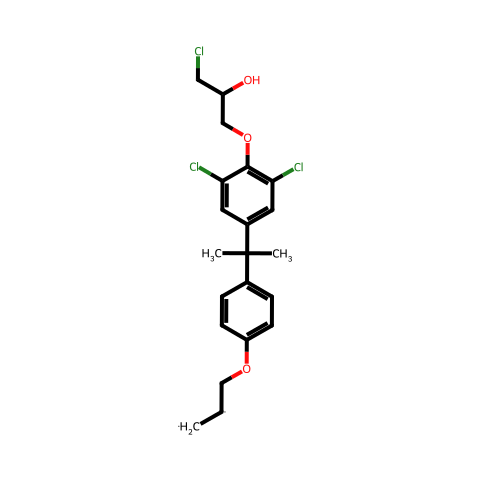 [CH2][CH]COc1ccc(C(C)(C)c2cc(Cl)c(OCC(O)CCl)c(Cl)c2)cc1